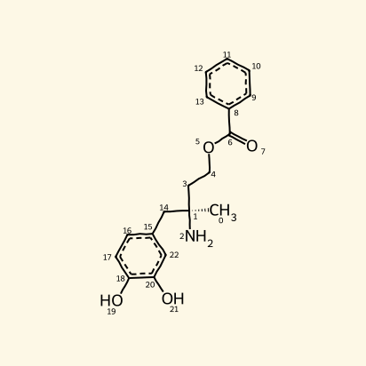 C[C@@](N)(CCOC(=O)c1ccccc1)Cc1ccc(O)c(O)c1